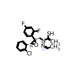 C=C(S)N(C[C@]1(c2ccc(F)cc2F)O[C@@H]1c1ccccc1Cl)/N=C\C